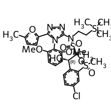 COc1cccc(OC)c1-n1c(-c2ccc(C)o2)nnc1N(CC[Si](C)(C)C)S(=O)(=O)[C@H](C)[C@H](O)c1ccc(Cl)cc1S(C)(=O)=O